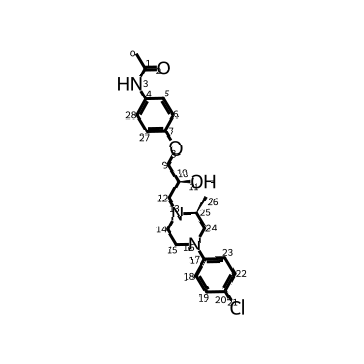 CC(=O)Nc1ccc(OC[C@@H](O)CN2CCN(c3ccc(Cl)cc3)C[C@@H]2C)cc1